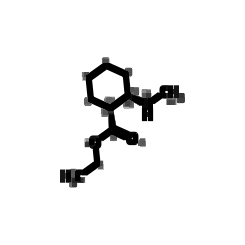 CCOC(=O)[C@H]1CCCC[C@H]1NC